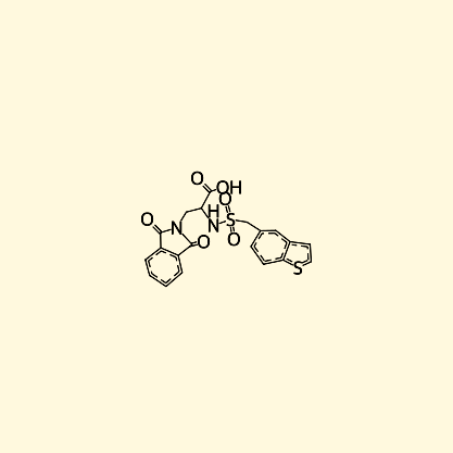 O=C(O)C(CN1C(=O)c2ccccc2C1=O)NS(=O)(=O)Cc1ccc2sccc2c1